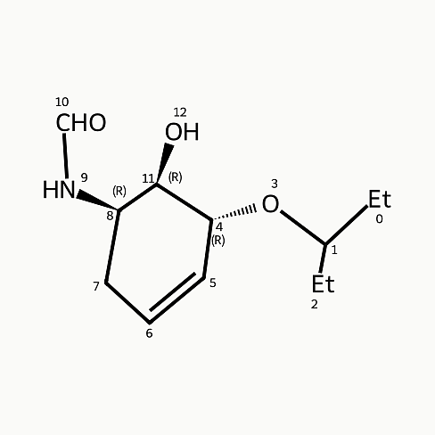 CCC(CC)O[C@@H]1C=CC[C@@H](NC=O)[C@H]1O